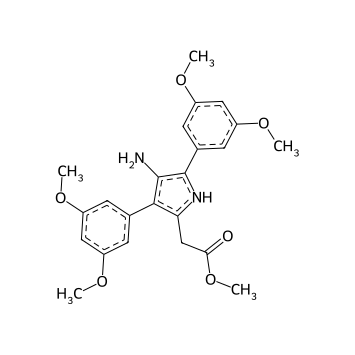 COC(=O)Cc1[nH]c(-c2cc(OC)cc(OC)c2)c(N)c1-c1cc(OC)cc(OC)c1